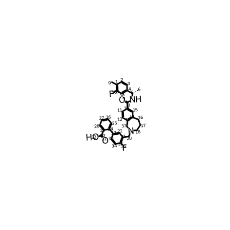 Cc1ccc([C@H](C)NC(=O)c2ccc3c(c2)CCCN(Cc2cc(-c4ccccc4C(=O)O)ccc2F)C3)cc1F